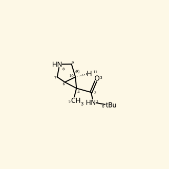 CC(C)(C)NC(=O)C1(C)C2CNC[C@H]21